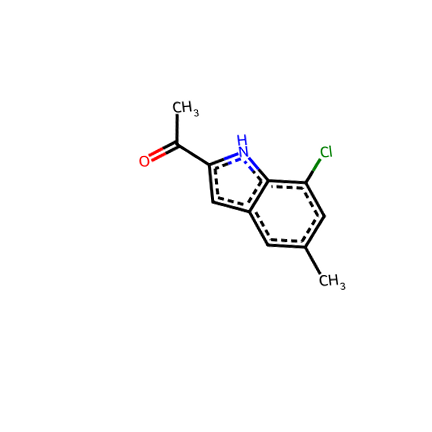 CC(=O)c1cc2cc(C)cc(Cl)c2[nH]1